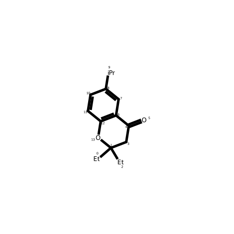 CCC1(CC)CC(=O)c2cc(C(C)C)ccc2O1